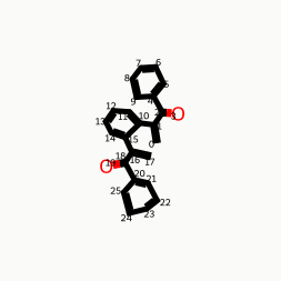 C=C(C(=O)c1ccccc1)c1ccccc1C(=C)C(=O)c1ccccc1